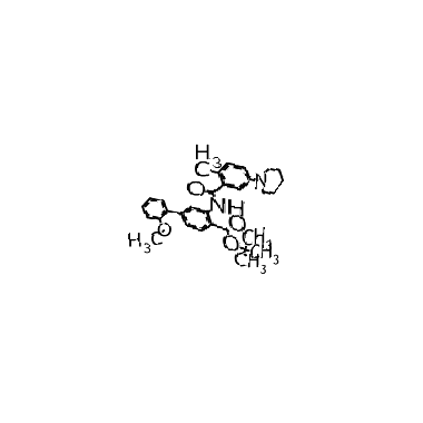 COc1ccccc1-c1ccc(C(=O)OC(C)(C)C)c(NC(=O)c2cc(N3CCCCC3)ccc2C)c1